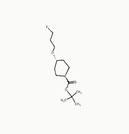 CC(C)(C)OC(=O)[C@H]1CC[C@H](OCCCF)CC1